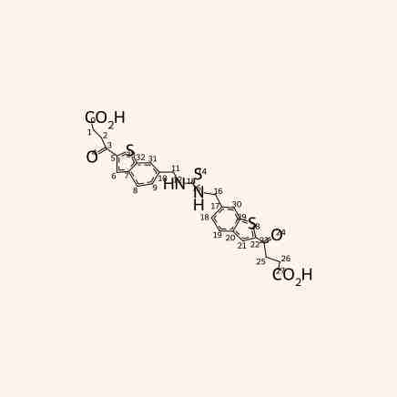 O=C(O)CCC(=O)c1cc2ccc(CNC(=S)NCc3ccc4cc(C(=O)CCC(=O)O)sc4c3)cc2s1